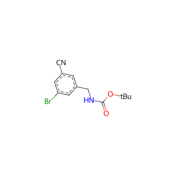 CC(C)(C)OC(=O)NCc1cc(Br)cc(C#N)c1